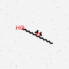 C=C(C)OC(=C)C.CCCCCCCCCCCCCCCCCCO